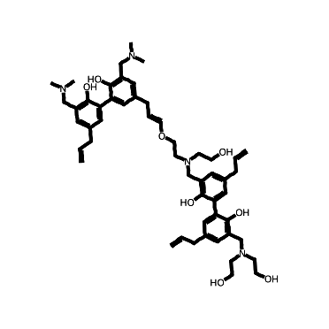 C=CCc1cc(CN(C)C)c(O)c(-c2cc(C/C=C/OCCN(CCO)Cc3cc(CC=C)cc(-c4cc(CC=C)cc(CN(CCO)CCO)c4O)c3O)cc(CN(C)C)c2O)c1